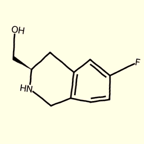 OC[C@H]1Cc2cc(F)ccc2CN1